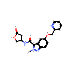 Cn1nc2ccc(OCc3ccccn3)cc2c1C(=O)NC1COC(=O)C1